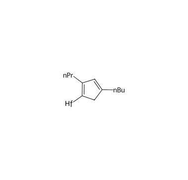 CCCCC1=CC(CCC)=[C]([Hf])C1